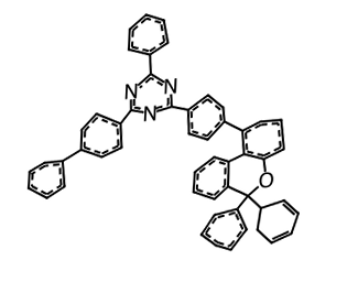 C1=CCC(C2(c3ccccc3)Oc3cccc(-c4ccc(-c5nc(-c6ccccc6)nc(-c6ccc(-c7ccccc7)cc6)n5)cc4)c3-c3ccccc32)C=C1